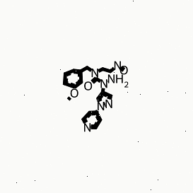 COc1cccc(CN(CCN=O)C(=O)N(N)c2cnn(-c3ccncc3)c2)c1